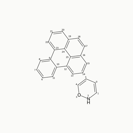 C1=CNOC=C1.c1ccc2c(c1)c1cccc3ccc4cccc2c4c31